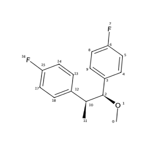 CO[C@H](c1ccc(F)cc1)[C@@H](C)c1ccc(F)cc1